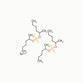 CCCCC(C)OP(=S)([S-])OC(C)CCCC.CCCCC(C)OP(=S)([S-])OC(C)CCCC.[Sn+2]